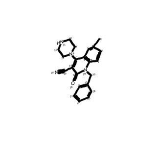 Cc1ccc2c(c1)c(N1CCNCC1)c(C#N)c(=O)n2Cc1ccccc1